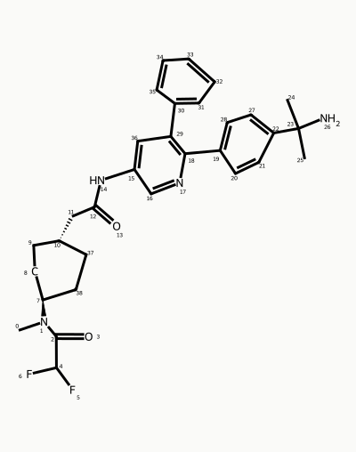 CN(C(=O)C(F)F)[C@H]1CC[C@H](CC(=O)Nc2cnc(-c3ccc(C(C)(C)N)cc3)c(-c3ccccc3)c2)CC1